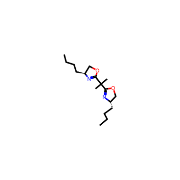 CCCC[C@H]1COC(C(C)(C)C2=N[C@@H](CCCC)CO2)=N1